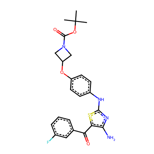 CC(C)(C)OC(=O)N1CC(Oc2ccc(Nc3nc(N)c(C(=O)c4cccc(F)c4)s3)cc2)C1